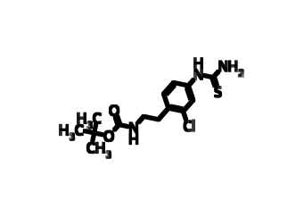 CC(C)(C)OC(=O)NCCc1ccc(NC(N)=S)cc1Cl